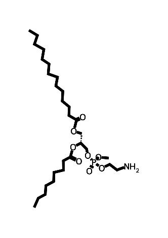 CCCCCCCCCCCCCC(=O)OC[C@H](COP(=O)(OC)OCCN)OC(=O)CCCCCCCC